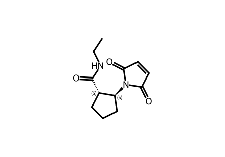 CCNC(=O)[C@H]1CCC[C@@H]1N1C(=O)C=CC1=O